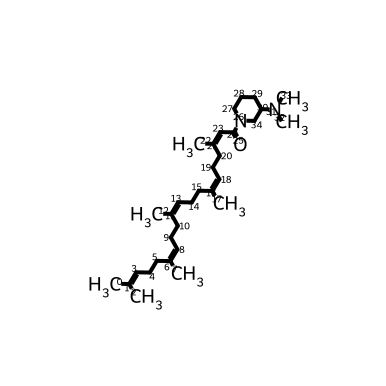 CC(C)=CCCC(C)=CCCC(C)=CCCC(C)=CCCC(C)=CC(=O)N1CCCC(N(C)C)C1